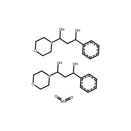 OC(CC(O)N1CCOCC1)c1ccccc1.OC(CC(O)N1CCOCC1)c1ccccc1.[O]=[Mo]=[O]